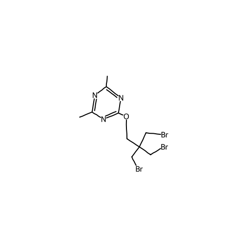 Cc1nc(C)nc(OCC(CBr)(CBr)CBr)n1